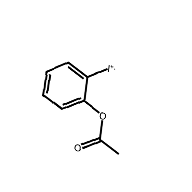 CC(=O)Oc1ccccc1[I+]